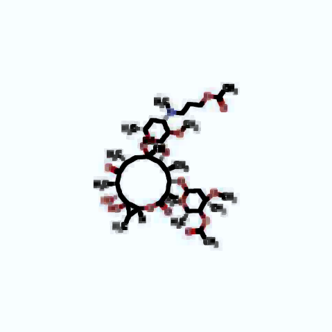 CO[C@H]1[C@H](O[C@@H]2[C@@H](C)[C@H](O[C@H]3C[C@@](C)(OC)[C@@H](OC(C)=O)[C@H](C)O3)[C@@H](C)C(=O)O[C@@H]3C(C)[C@]3(O)[C@H](O)[C@@H](C)C(=O)[C@H](C)C[C@]2(C)OC)O[C@H](C)C[C@@H]1N(C)CCCOC(C)=O